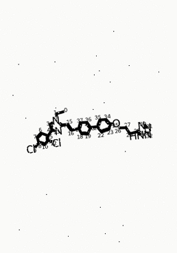 CCn1cc(-c2ccc(Cl)cc2Cl)nc1C=Cc1ccc(-c2ccc(OCCCc3nnn[nH]3)cc2)cc1